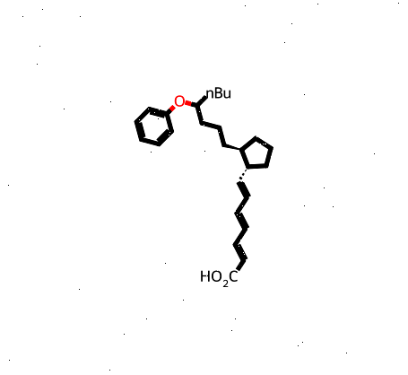 CCCCC(CCC[C@H]1CCC[C@@H]1C=CC=CC=CC(=O)O)Oc1ccccc1